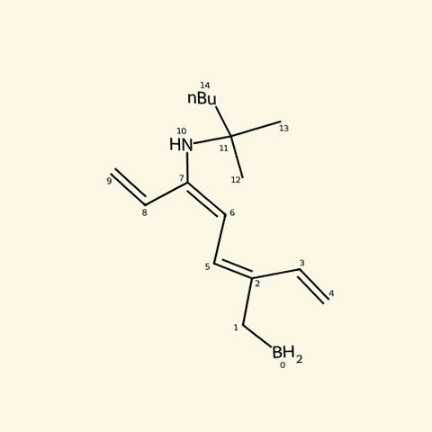 BC/C(C=C)=C/C=C(\C=C)NC(C)(C)CCCC